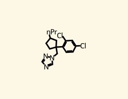 CCCC1CCC(Cn2cncn2)(c2ccc(Cl)cc2Cl)C1